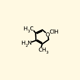 CC1=COCC(C)=C1N.Cl